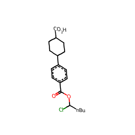 CCCCC(Cl)OC(=O)c1ccc(C2CCC(C(=O)O)CC2)cc1